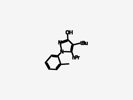 CCCc1c(C(C)(C)C)c(O)nn1-c1ccccc1C